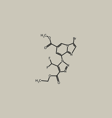 CCOC(=O)c1nnn(-c2cc(C(=O)OC)cn3c(Br)cnc23)c1C(F)F